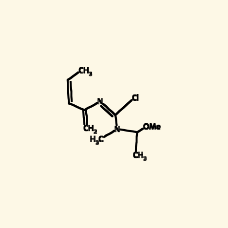 C=C(/C=C\C)/N=C(/Cl)N(C)C(C)OC